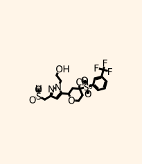 CC1(S(=O)(=O)c2cccc(C(F)(F)F)c2)CCOC(c2cc(C[SH](=O)=O)nn2CCO)C1